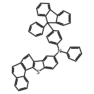 c1ccc(N(c2ccc(C3(c4ccccc4)c4ccccc4-c4ccccc43)cc2)c2ccc3sc4c(ccc5ccc6ccccc6c54)c3c2)cc1